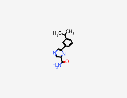 CC(C)c1cccc(-c2cncc(C(N)=O)n2)c1